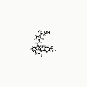 Nc1nccc2c1nc(Sc1cc3c(cc1Br)OCO3)n2CCC1CCN(C(=O)CO)C1